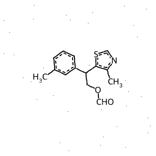 Cc1cccc(C(COC=O)c2scnc2C)c1